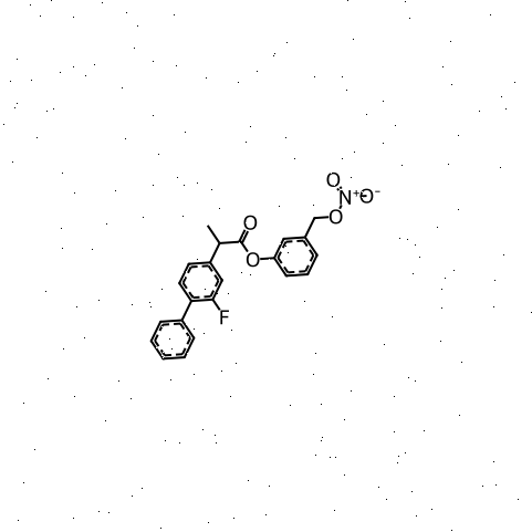 CC(C(=O)Oc1cccc(CO[N+](=O)[O-])c1)c1ccc(-c2ccccc2)c(F)c1